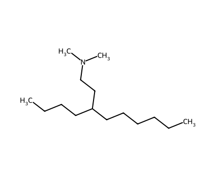 CCCCCCC(CCCC)CCN(C)C